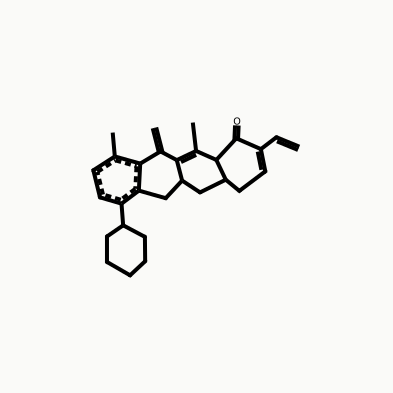 C=CC1=CCC2CC3Cc4c(C5CCCCC5)ccc(C)c4C(=C)C3=C(C)C2C1=O